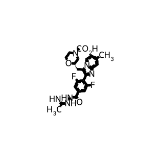 CC(=N)NNC(=O)c1cc(F)c(-c2nc3cc(C)ccn3c2C[C@H]2CN(C(=O)O)CCO2)c(F)c1